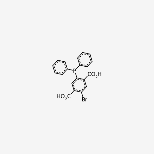 O=C(O)c1cc(P(c2ccccc2)c2ccccc2)c(C(=O)O)cc1Br